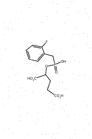 O=C(O)CCC(OP(=O)(O)Cc1ccccc1F)C(=O)O